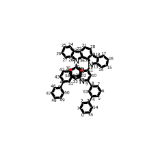 c1ccc(-c2cccc(-c3cc(-n4c5ccccc5c5ccc6c7ccccc7n(-c7ccccc7)c6c54)nc(-c4cccc(-c5ccccc5)c4)n3)c2)cc1